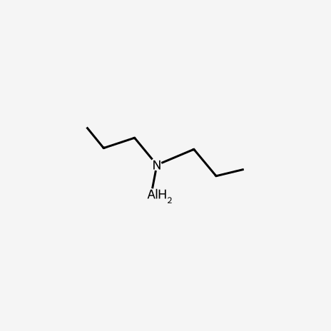 CCC[N]([AlH2])CCC